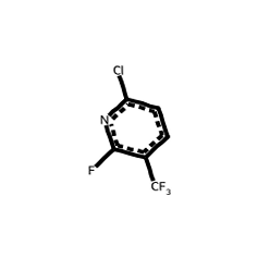 Fc1nc(Cl)ccc1C(F)(F)F